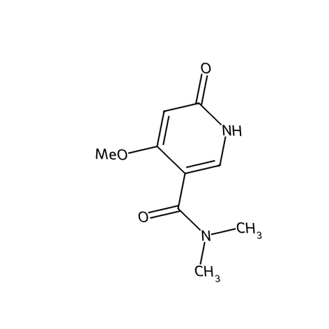 COc1cc(=O)[nH]cc1C(=O)N(C)C